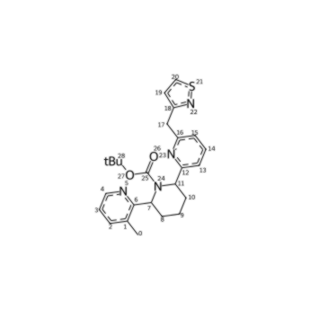 Cc1cccnc1C1CCCC(c2cccc(Cc3ccsn3)n2)N1C(=O)OC(C)(C)C